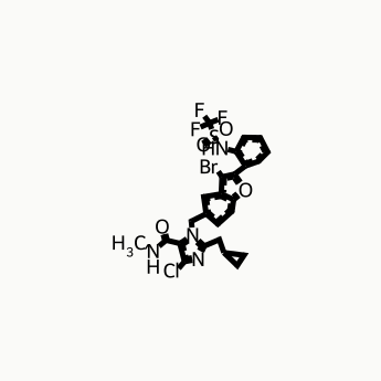 CNC(=O)c1c(Cl)nc(CC2CC2)n1Cc1ccc2oc(-c3ccccc3NS(=O)(=O)C(F)(F)F)c(Br)c2c1